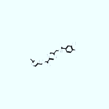 Cc1ncc(CNC(=O)c2cnc(CNC(=O)c3ccc(Cl)c(Cl)c3)cn2)s1